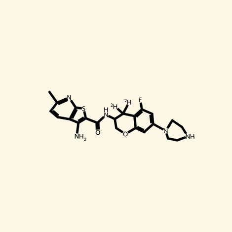 [2H]C1([2H])c2c(F)cc(N3CCNCC3)cc2OCC1NC(=O)c1sc2nc(C)ccc2c1N